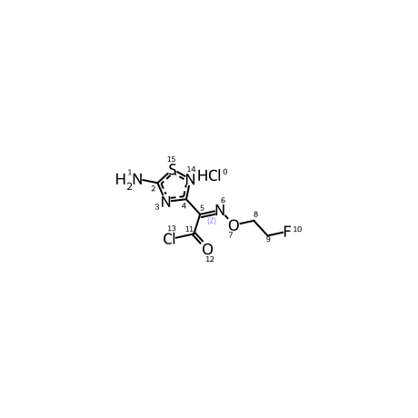 Cl.Nc1nc(/C(=N/OCCF)C(=O)Cl)ns1